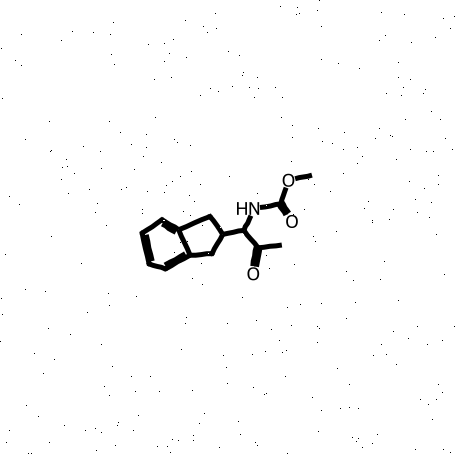 COC(=O)NC(C(C)=O)C1Cc2ccccc2C1